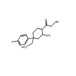 CC1CC(CC(=O)O)(c2ccc(F)cc2)CCN1C(=O)OC(C)(C)C